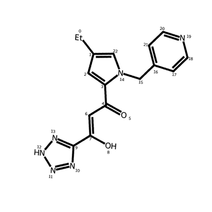 CCc1cc(C(=O)C=C(O)c2nn[nH]n2)n(Cc2ccncc2)c1